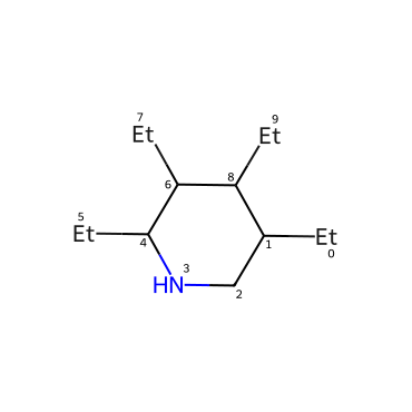 CCC1CNC(CC)C(CC)C1CC